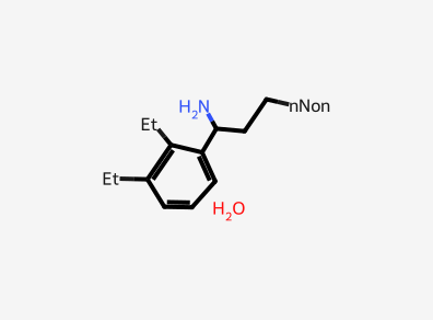 CCCCCCCCCCCC(N)c1cccc(CC)c1CC.O